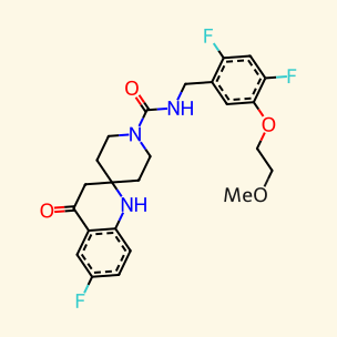 COCCOc1cc(CNC(=O)N2CCC3(CC2)CC(=O)c2cc(F)ccc2N3)c(F)cc1F